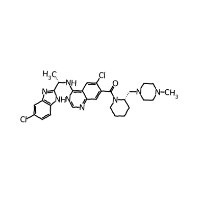 C[C@H](Nc1ncnc2cc(C(=O)N3CCCC[C@H]3CN3CCN(C)CC3)c(Cl)cc12)c1nc2cc(Cl)ccc2[nH]1